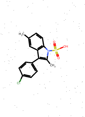 Cc1ccc2c(c1)c(-c1ccc(Cl)cc1)c(C)n2S(=O)(=O)O